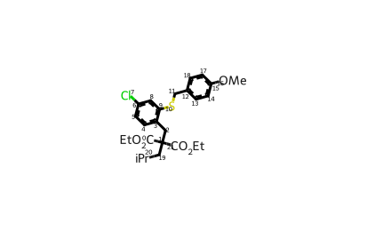 CCOC(=O)C(Cc1ccc(Cl)cc1SCc1ccc(OC)cc1)(CC(C)C)C(=O)OCC